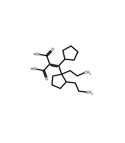 CCCC1CCCC1(CCC)C(=C(C(=O)O)C(=O)O)C1CCCC1